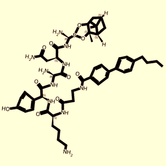 CCCCc1ccc(-c2ccc(C(=O)NCCC(=O)N[C@@H](CCCCN)C(=O)N[C@H](C(=O)N[C@@H](N)C(=O)N[C@@H](CC(N)=O)C(=O)N[C@@H](N)B3OC4C[C@@H]5C[C@@H](C5(C)C)[C@]4(C)O3)c3ccc(O)cc3)cc2)cc1